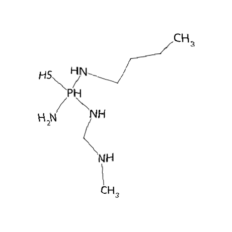 CCCCN[PH](N)(S)NCNC